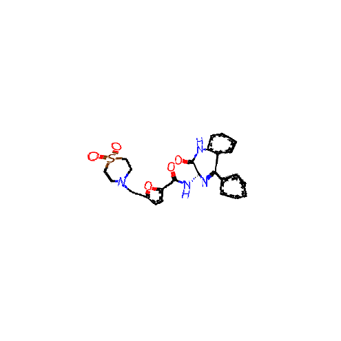 O=C(N[C@H]1N=C(c2ccccc2)c2ccccc2NC1=O)c1ccc(CN2CCS(=O)(=O)CC2)o1